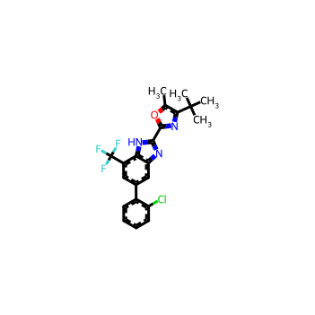 Cc1oc(-c2nc3cc(-c4ccccc4Cl)cc(C(F)(F)F)c3[nH]2)nc1C(C)(C)C